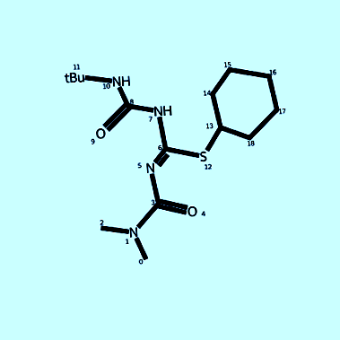 CN(C)C(=O)N=C(NC(=O)NC(C)(C)C)SC1CCCCC1